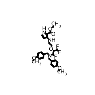 CCOC(=O)c1[nH]ccc1NCCOC(C(F)F)C(F)N(Cc1ccc(OC)cc1)Cc1ccc(OC)cc1